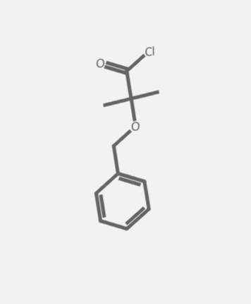 CC(C)(OCc1ccccc1)C(=O)Cl